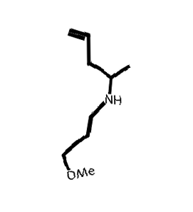 C=CCC(C)NCCCOC